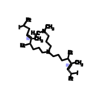 CCC(I)/C=C(\C)C(CC)CCCN(CCCC(CC)/C(C)=C/CC(I)CC)CCCN(C)C